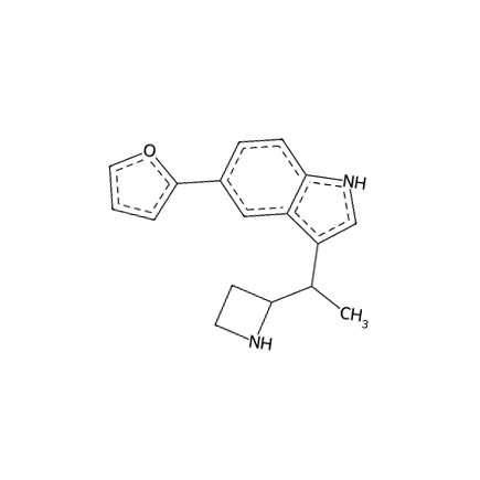 CC(c1c[nH]c2ccc(-c3ccco3)cc12)C1CCN1